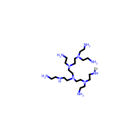 CCNCCN(CCN)CCN(CCNCCN)CCN(CCN)CCN(CCN)CCN